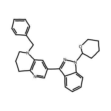 c1ccc(CN2CCCc3ncc(-c4nn(C5CCCCO5)c5ccccc45)cc32)cc1